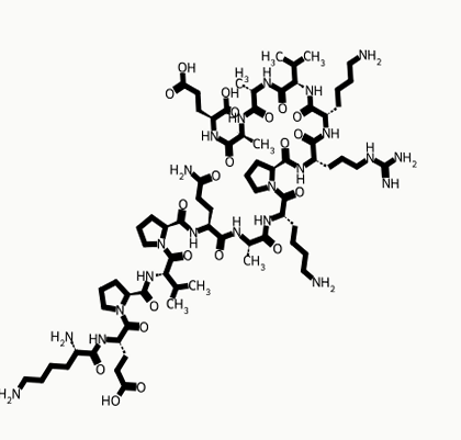 CC(C)[C@H](NC(=O)[C@H](CCCCN)NC(=O)[C@H](CCCNC(=N)N)NC(=O)[C@@H]1CCCN1C(=O)[C@H](CCCCN)NC(=O)[C@H](C)NC(=O)[C@H](CCC(N)=O)NC(=O)[C@@H]1CCCN1C(=O)[C@@H](NC(=O)[C@@H]1CCCN1C(=O)[C@H](CCC(=O)O)NC(=O)[C@@H](N)CCCCN)C(C)C)C(=O)N[C@@H](C)C(=O)N[C@@H](C)C(=O)N[C@@H](CCC(=O)O)C(=O)O